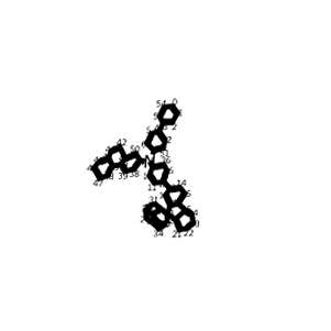 c1ccc(-c2ccc(N(c3ccc(-c4ccc5c(c4)C4(c6ccccc6-5)C5CC6CC(C5)CC4C6)cc3)c3ccc4c(ccc5ccccc54)c3)cc2)cc1